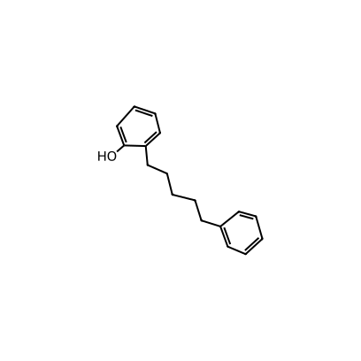 Oc1ccccc1CCCCCc1ccccc1